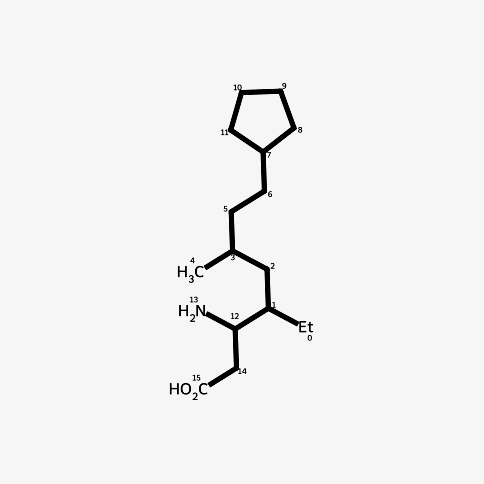 CCC(CC(C)CCC1CCCC1)C(N)CC(=O)O